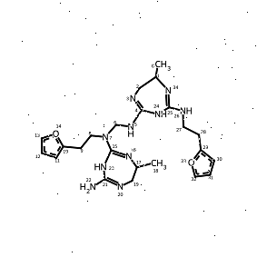 CC1CN=C(NCN(CCc2ccco2)C2=NC(C)CN=C(N)N2)NC(NCCc2ccco2)=N1